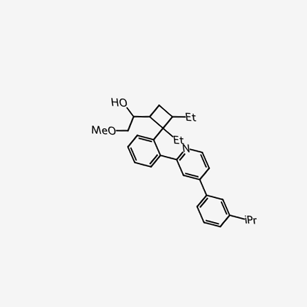 CCC1CC(C(O)COC)C1(CC)c1ccccc1-c1cc(-c2cccc(C(C)C)c2)ccn1